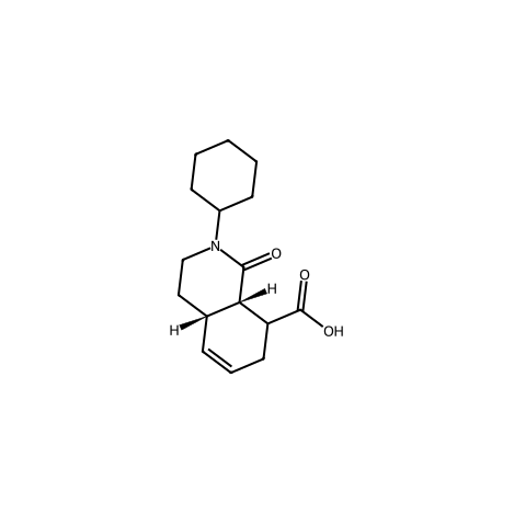 O=C(O)C1CC=C[C@@H]2CCN(C3CCCCC3)C(=O)[C@H]12